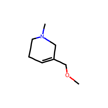 COCC1=CCCN(C)C1